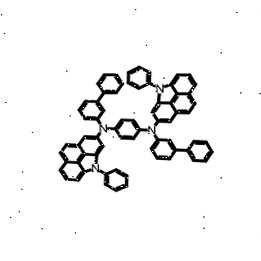 c1ccc(-c2cccc(N(c3ccc(N(c4cccc(-c5ccccc5)c4)c4cc5ccc6cccc7c6c5c(c4)n7-c4ccccc4)cc3)c3cc4ccc5cccc6c5c4c(c3)n6-c3ccccc3)c2)cc1